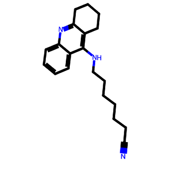 N#CCCCCCCNc1c2c(nc3ccccc13)CCCC2